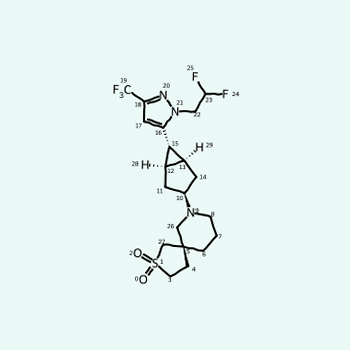 O=S1(=O)CC[C@@]2(CCCN([C@H]3C[C@@H]4[C@H](C3)[C@H]4c3cc(C(F)(F)F)nn3CC(F)F)C2)C1